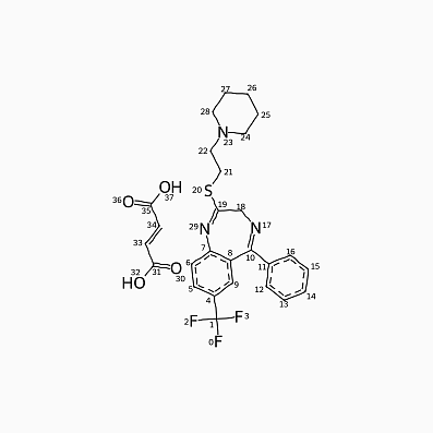 FC(F)(F)c1ccc2c(c1)C(c1ccccc1)=NCC(SCCN1CCCCC1)=N2.O=C(O)/C=C/C(=O)O